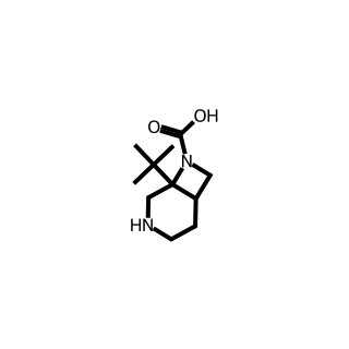 CC(C)(C)C12CNCCC1CN2C(=O)O